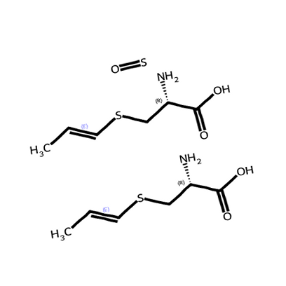 C/C=C/SC[C@H](N)C(=O)O.C/C=C/SC[C@H](N)C(=O)O.O=S